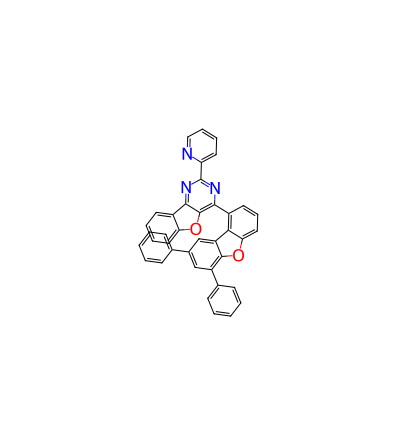 c1ccc(-c2cc(-c3ccccc3)c3oc4cccc(-c5nc(-c6ccccn6)nc6c5oc5ccccc56)c4c3c2)cc1